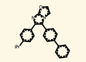 CC(C)c1ccc(-c2nc3occn3c2-c2ccc(-c3ccccc3)cc2)cc1